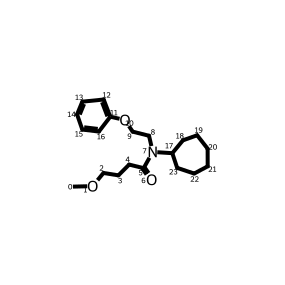 COCCCC(=O)N(CCOc1ccccc1)C1CCCCCC1